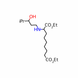 CCOC(=O)CCCCCCC(NCCC(O)C(C)C)C(=O)OCC